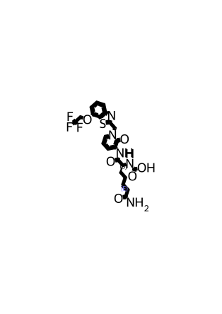 NC(=O)/C=C/CC[C@H](NC(=O)O)C(=O)Nc1cccn(Cc2nc3cccc(OCC(F)(F)F)c3s2)c1=O